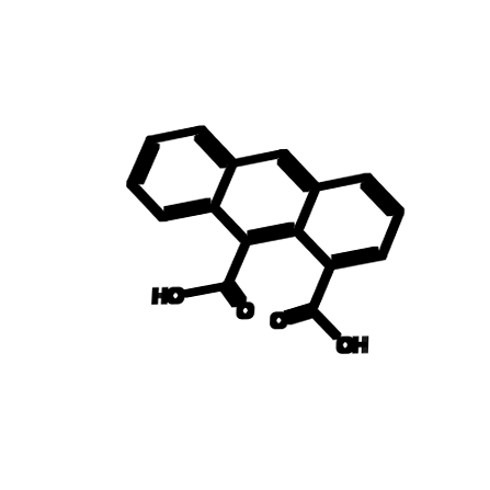 O=C(O)c1cccc2cc3ccccc3c(C(=O)O)c12